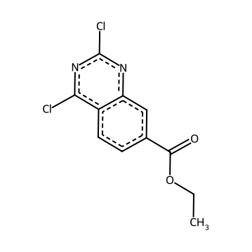 CCOC(=O)c1ccc2c(Cl)nc(Cl)nc2c1